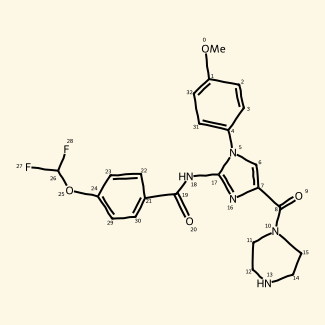 COc1ccc(-n2cc(C(=O)N3CCNCC3)nc2NC(=O)c2ccc(OC(F)F)cc2)cc1